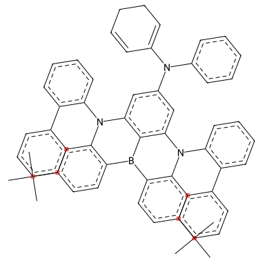 CC(C)(C)c1ccc2c(c1)N(c1ccccc1-c1ccccc1)c1cc(N(C3=CCCC=C3)c3ccccc3)cc3c1B2c1ccc(C(C)(C)C)cc1N3c1ccccc1-c1ccccc1